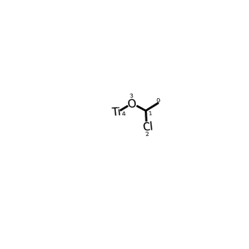 CC(Cl)[O][Ti]